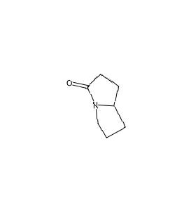 O=C1CCC2CCCN12